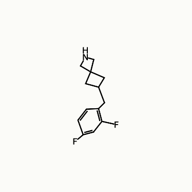 Fc1ccc(CC2CC3(CNC3)C2)c(F)c1